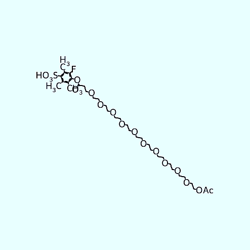 CC(=O)OCCOCCOCCOCCOCCOCCOCCOCCOCCOCCOCCC(=O)Oc1c(C)c(C)c(S(=O)(=O)O)c(C)c1F